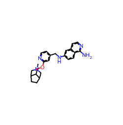 CN1CC2CCC(C1)C2COc1cc(CNc2ccc3c(N)nccc3c2)ccn1